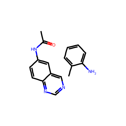 CC(=O)Nc1ccc2ncncc2c1.Cc1ccccc1N